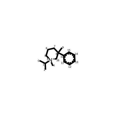 CC(C)[N+]1(C)CCCC(C)(c2ccccc2)C1